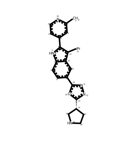 Cc1cc(-c2[nH]c3ccc(-c4nnc([C@@H]5CCNC5)o4)cc3c2C(C)C)ccn1